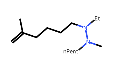 C=C(C)CCCCN(CC)N(C)CCCCC